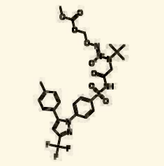 COC(=O)OCON=[N+]([O-])N(CC(=O)NS(=O)(=O)c1ccc(-n2nc(C(F)(F)F)cc2-c2ccc(C)cc2)cc1)C(C)(C)C